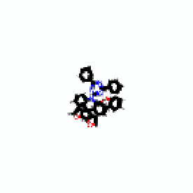 c1ccc(-c2nc(-c3ccccc3)nc(N3c4ccccc4C4(c5ccoc5-c5occc54)c4ccc5c(oc6ccccc65)c43)n2)cc1